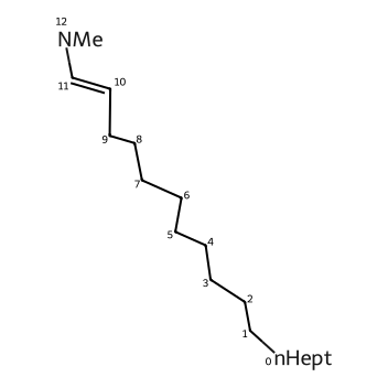 CCCCCCCCCCCCCCCCC=CNC